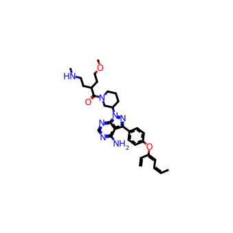 C=C/C(=C\C=C/C)Oc1ccc(-c2nn(C3CCCN(C(=O)C(CCNC)CCOC)C3)c3ncnc(N)c23)cc1